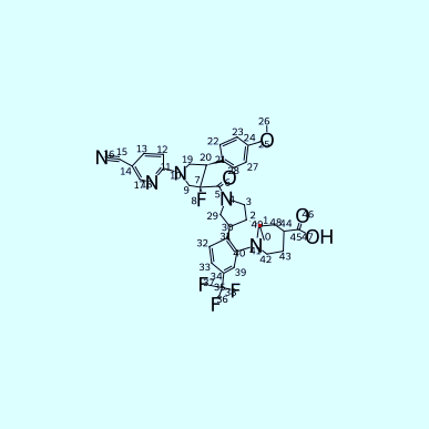 CC[C@H]1CN(C(=O)[C@]2(F)CN(c3ccc(C#N)cn3)C[C@H]2c2ccc(OC)cc2)C[C@@H]1c1ccc(C(F)(F)F)cc1N1CCC(C(=O)O)CC1